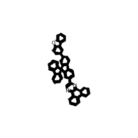 c1ccc2c(c1)-c1ccccc1C21c2cc(-c3ccc4oc5ccccc5c4c3)ccc2-c2ccc(-c3cnc4c5ccccc5c5ccccc5c4n3)cc21